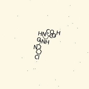 O=C=C1CC(NC(=O)c2cnc3cc(Cl)ccc3c2)CNC1C(=O)O